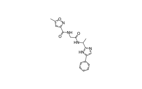 Cc1cc(C(=O)NCC(=O)NC(C)c2ncc(-c3ccccc3)[nH]2)no1